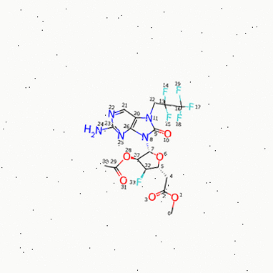 COC(=O)C[C@H]1O[C@@H](n2c(=O)n(CC(F)(F)C(F)(F)F)c3cnc(N)nc32)[C@H](OC(C)=O)[C@@H]1F